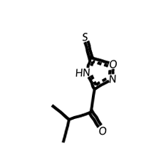 CC(C)C(=O)c1noc(=S)[nH]1